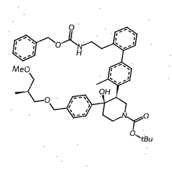 COC[C@H](C)COCc1ccc([C@@]2(O)CCN(C(=O)OC(C)(C)C)C[C@@H]2c2ccc(-c3ccccc3CCNC(=O)OCc3ccccc3)cc2C)cc1